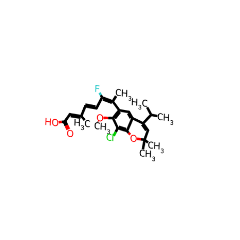 COc1c(\C(C)=C(F)/C=C/C(C)=C/C(=O)O)cc2c(c1Cl)OC(C)(C)C=C2C(C)C